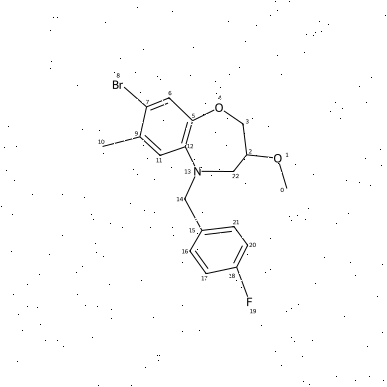 COC1COc2cc(Br)c(C)cc2N(Cc2ccc(F)cc2)C1